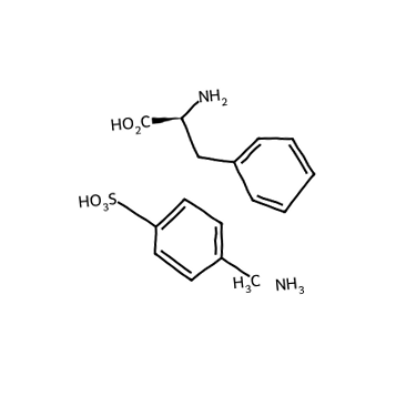 Cc1ccc(S(=O)(=O)O)cc1.N.N[C@@H](Cc1ccccc1)C(=O)O